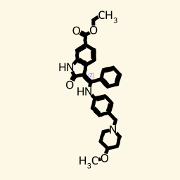 CCOC(=O)c1ccc2c(c1)NC(=O)/C2=C(\Nc1ccc(CN2CCC(OC)CC2)cc1)c1ccccc1